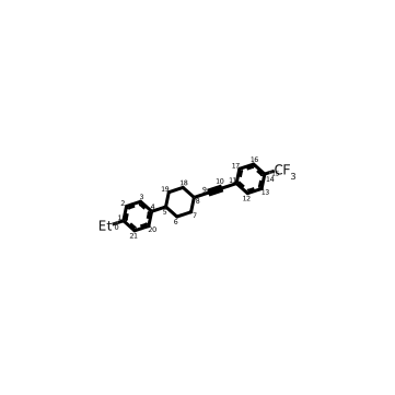 CCc1ccc(C2CCC(C#Cc3ccc(C(F)(F)F)cc3)CC2)cc1